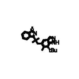 Cc1c(CC(C)(C)c2nn(C)c3ccccc23)cc2cn[nH]c2c1C(C)(C)C